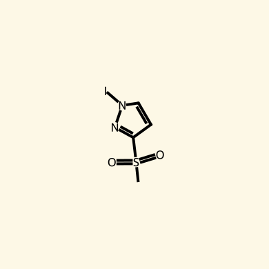 CS(=O)(=O)c1ccn(I)n1